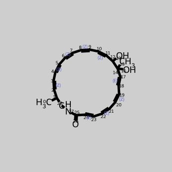 CC1\C=C/C=C\C=C/C=C\C=C/C(O)C(C)(O)/C=C/C=C\C=C/C=C/C(=O)NC1